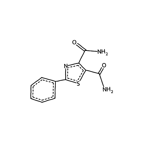 NC(=O)c1nc(-c2ccccc2)sc1C(N)=O